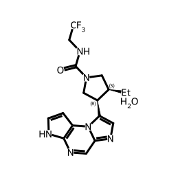 CC[C@@H]1CN(C(=O)NCC(F)(F)F)C[C@@H]1c1cnc2cnc3[nH]ccc3n12.O